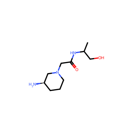 CC(CO)NC(=O)CN1CCC[C@@H](N)C1